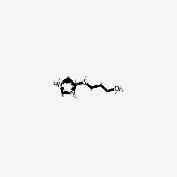 OCCCSc1c[nH]cn1